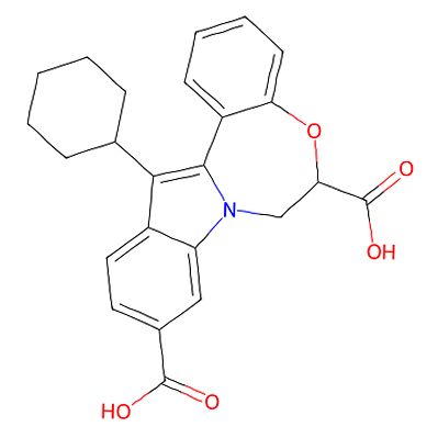 O=C(O)c1ccc2c(C3CCCCC3)c3n(c2c1)CC(C(=O)O)Oc1ccccc1-3